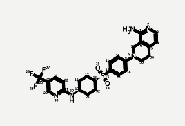 Nc1nccc2c1CN(c1ccc(S(=O)(=O)[C@H]3CC[C@H](Nc4ccc(C(F)(F)F)cn4)CC3)cc1)CC2